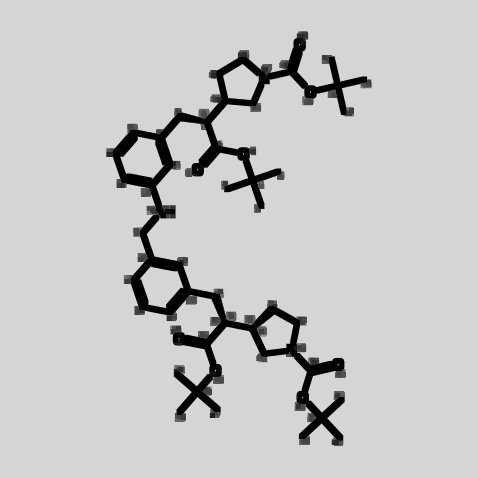 CC(C)(C)OC(=O)[C@@H](Cc1cccc(NCc2cccc(C[C@H](C(=O)OC(C)(C)C)[C@H]3CCN(C(=O)OC(C)(C)C)C3)c2)c1)C1CCN(C(=O)OC(C)(C)C)C1